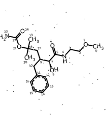 COCCNC(=O)[C@@H](O)C(Cc1ccccc1)CC(C)(C)OC(N)=O